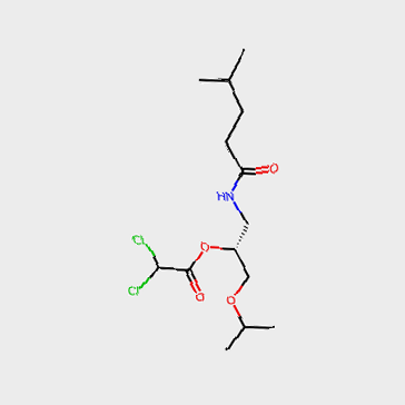 CC(C)CCC(=O)NC[C@H](COC(C)C)OC(=O)C(Cl)Cl